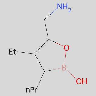 CCCC1B(O)OC(CN)C1CC